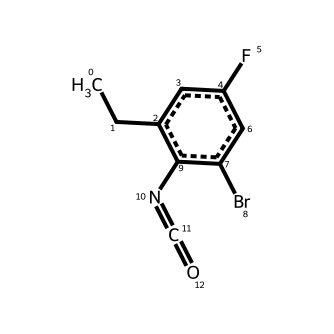 CCc1cc(F)cc(Br)c1N=C=O